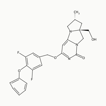 C[C@H]1CN2c3cc(OCc4cc(F)c(Oc5ccccc5)c(F)c4)nc(=O)n3C[C@@]2(CO)C1